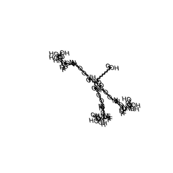 O=C(O)CCCCCCCCCCC(=O)NC(CCC(=O)NCCOCCOCCn1cc(COc2nc(N[C@H]3CO[C@H](CO)[C@H](O)[C@@H]3O)cc(C(F)(F)F)n2)nn1)(CCC(=O)NCCOCCOCCn1cc(COc2nc(N[C@H]3CO[C@H](CO)[C@H](O)[C@@H]3O)cc(C(F)(F)F)n2)nn1)CCC(=O)NCCOCCOCCn1cc(COc2nc(N[C@H]3CO[C@H](CO)[C@H](O)[C@@H]3O)cc(C(F)(F)F)n2)nn1